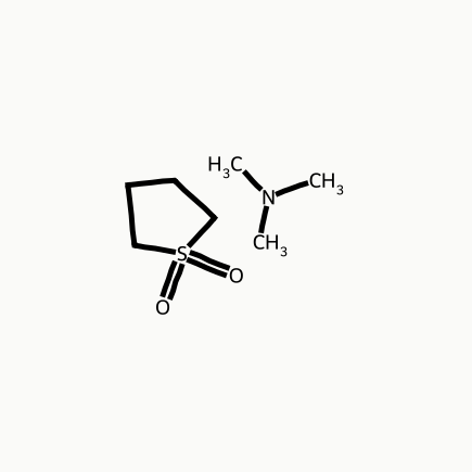 CN(C)C.O=S1(=O)CCCC1